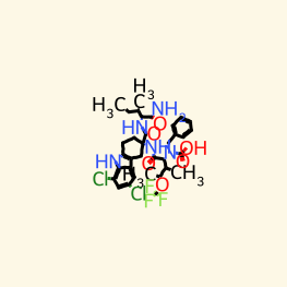 CC[C@H](C)[C@H](NC(=O)[C@@]1(NC(=O)C(C(C)C(C)OC(F)(F)F)N(Cc2ccccc2)C(=O)O)CCc2[nH]c3c(Cl)cc(Cl)cc3c2C1)C(N)=O